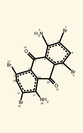 Nc1c(Br)cc(Br)c2c1C(=O)c1c(Br)cc(Br)c(N)c1C2=O